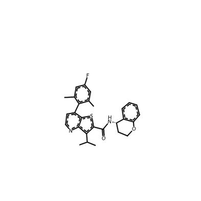 Cc1cc(F)cc(C)c1-c1ccnc2c(C(C)C)c(C(=O)N[C@H]3CCOc4ccccc43)sc12